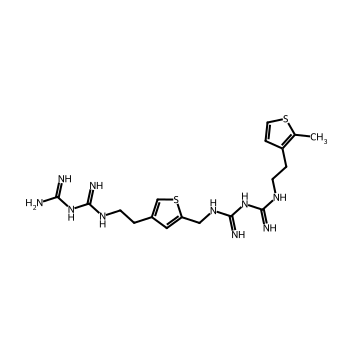 Cc1sccc1CCNC(=N)NC(=N)NCc1cc(CCNC(=N)NC(=N)N)cs1